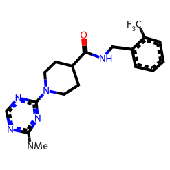 CNc1ncnc(N2CCC(C(=O)NCc3ccccc3C(F)(F)F)CC2)n1